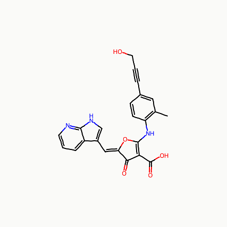 Cc1cc(C#CCO)ccc1NC1=C(C(=O)O)C(=O)C(=Cc2c[nH]c3ncccc23)O1